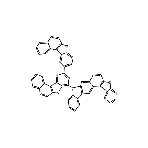 c1ccc2c(c1)ccc1oc3ccc(-c4nc(-n5c6ccccc6c6cc7c(ccc8sc9ccccc9c87)cc65)c5sc6ccc7ccccc7c6c5n4)cc3c12